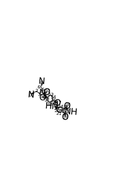 N#CCCN(CCC#N)S(=O)(=O)c1ccc(C(=O)Nc2ccc3c(c2)C(=O)NC3=O)cc1